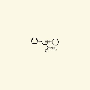 NC(=O)C(CCc1ccccc1)NC1CCCCC1